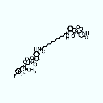 C[C@H](N(Cc1ccc(F)cc1)C(=O)CN1C(=O)O[C@@]2(CCc3cc(NC(=O)CCCCCCCCCCCNc4cccc5c4C(=O)N(C4CCC(=O)NC4=O)C5=O)ccc32)C1=O)C(F)(F)F